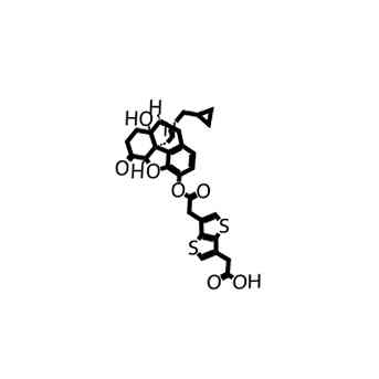 O=C(O)Cc1csc2c(CC(=O)Oc3ccc4c5c3O[C@H]3C(=O)CC[C@@]6(O)[C@@H](C4)N(CC4CC4)CC[C@]536)csc12